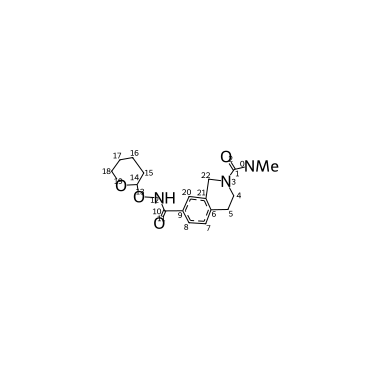 CNC(=O)N1CCc2ccc(C(=O)NOC3CCCCO3)cc2C1